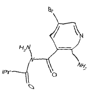 CC(C)C(=O)N(N)C(=O)c1cc(Br)cnc1N